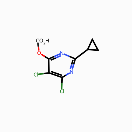 O=C(O)Oc1nc(C2CC2)nc(Cl)c1Cl